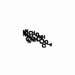 Cc1nnnn1-c1ccnc(N[C@@H](C)c2cc3cc(Cl)c(OCC4CC4)cc3[nH]c2=O)n1